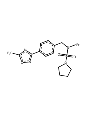 CCCN(Cc1ccc(-c2noc(C(F)(F)F)n2)cc1)S(=O)(=O)N1CCCC1